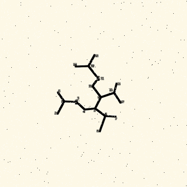 CC(C)SCC(C(C)C)C(CSC(C)C)C(C)C